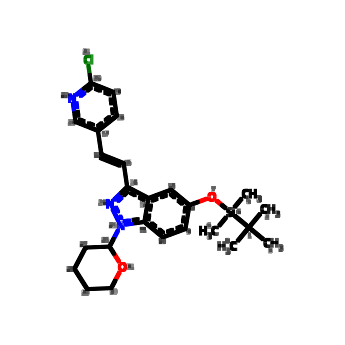 CC(C)(C)[Si](C)(C)Oc1ccc2c(c1)c(C=Cc1ccc(Cl)nc1)nn2C1CCCCO1